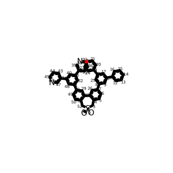 O=S1(=O)Cc2ccc(-c3cc(-c4ccccc4)cc(-c4ccccc4)c3)cc2-c2cc(-c3cc(-c4cccnc4)cc(-c4cccnc4)c3)ccc2C1